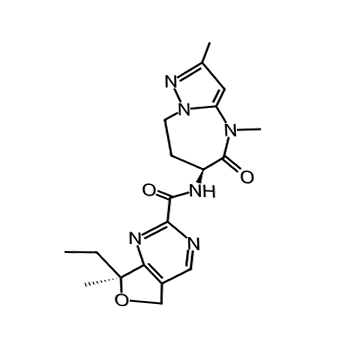 CC[C@]1(C)OCc2cnc(C(=O)N[C@H]3CCn4nc(C)cc4N(C)C3=O)nc21